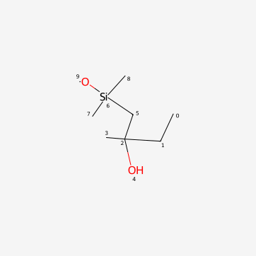 CCC(C)(O)C[Si](C)(C)[O]